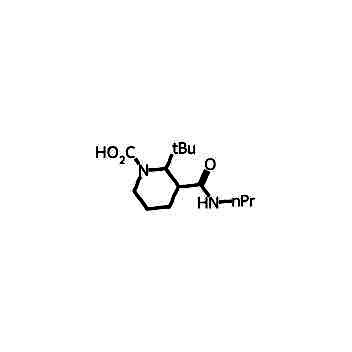 CCCNC(=O)C1CCCN(C(=O)O)C1C(C)(C)C